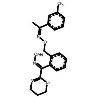 CON=C(C1=NCCCN1)c1ccccc1CON=C(C)c1cccc(C(F)(F)F)c1